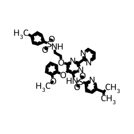 COc1ccccc1Oc1c(NS(=O)(=O)c2ccc(C(C)C)cn2)nc(-c2ncccn2)nc1OCCNS(=O)(=O)c1ccc(C)cc1